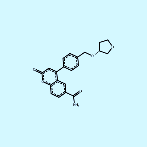 NC(=O)c1ccc2oc(=O)cc(-c3ccc(CO[C@@H]4CCOC4)cc3)c2c1